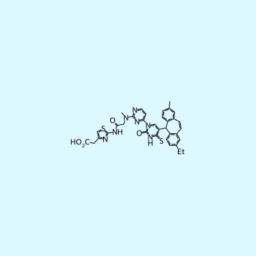 CCc1ccc2c(c1)C=Cc1cc(C)ccc1C2c1cn(-c2ccnc(N(C)CC(=O)Nc3nc(CC(=O)O)cs3)n2)c(=O)[nH]c1=S